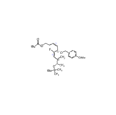 COc1ccc(CO[C@@H](/C=C\CCOC(=O)C(C)(C)C)/C(F)=C\[C@@H](C)C(C)O[Si](C)(C)C(C)(C)C)cc1